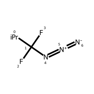 CC(C)C(F)(F)N=[N+]=[N-]